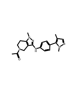 CC(=O)N1CCc2c(c(Nc3ccc(-c4c(C)cnn4C)cc3)nn2C)C1